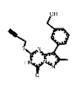 C#CCSc1nc2c(-c3cccc(CO)c3)c(C)nn2c(=O)[nH]1